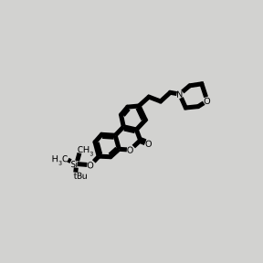 CC(C)(C)[Si](C)(C)Oc1ccc2c(c1)oc(=O)c1cc(CCCN3CCOCC3)ccc12